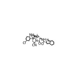 CC(C)(F)C[C@H](NC(=O)c1cc2ccccn2n1)C(=O)N1C[C@](C=O)(c2cc(Cl)ccc2N)C[C@H]1C#N